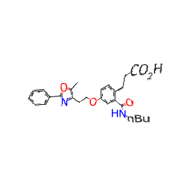 CCCCNC(=O)c1cc(OCCc2nc(-c3ccccc3)oc2C)ccc1CCC(=O)O